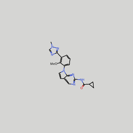 COc1c(-c2ncn(C)n2)cccc1-n1ccc2cnc(NC(=O)C3CC3)nc21